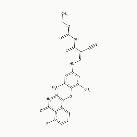 CCOC(=O)NC(=O)/C(C#N)=C\Nc1cc(C)c(Oc2n[nH]c(=O)c3c(F)cccc23)c(C)c1